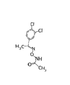 CC(=O)NON=C(C)c1ccc(Cl)c(Cl)c1